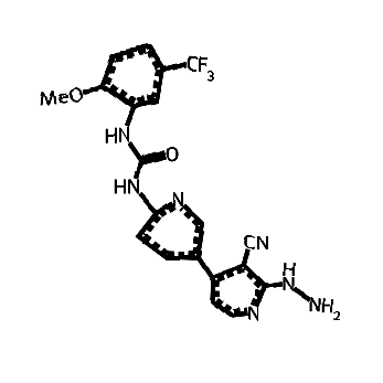 COc1ccc(C(F)(F)F)cc1NC(=O)Nc1ccc(-c2ccnc(NN)c2C#N)cn1